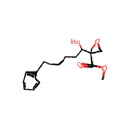 COC(=O)C1(C(O)CCCCc2ccccc2)CO1